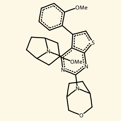 COc1ccccc1-c1csc2nc(N3C4CCC3COC4)nc(N3C4CCC3CC(OC)C4)c12